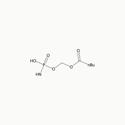 CCCCC(=O)OCOP([NH])(=O)O